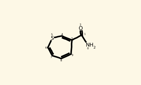 NC(=O)C1=CSC=CC=C1